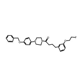 O=C(CCCc1cccc(OCCF)c1)N1CCN(c2ccc(OCc3ccccc3)cc2)CC1